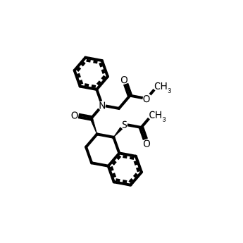 COC(=O)CN(C(=O)[C@@H]1CCc2ccccc2[C@@H]1SC(C)=O)c1ccccc1